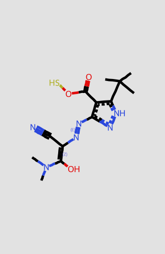 CN(C)/C(O)=C(C#N)/N=N/c1n[nH]c(C(C)(C)C)c1C(=O)OS